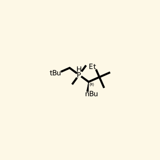 CCCC[C@H](C(C)(C)CC)[PH](C)(C)CC(C)(C)C